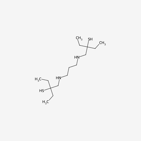 CCC(S)(CC)CNCCCNCC(S)(CC)CC